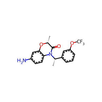 C[C@H]1Oc2cc(N)ccc2N([C@@H](C)c2cccc(OC(F)(F)F)c2)C1=O